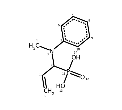 C=CC(N(C)c1ccccc1)P(=O)(O)O